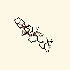 O=C(O)Oc1cnc(N2C3CCC2CN(CC(=O)N2CC=C(c4ccc(Cl)c(C(F)(F)F)c4)CC2)C3)nc1